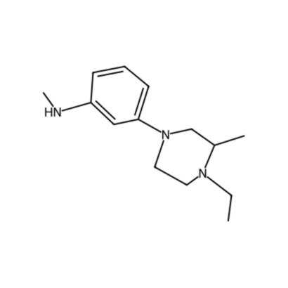 CCN1CCN(c2cccc(NC)c2)CC1C